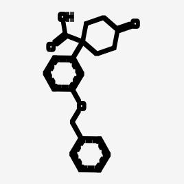 O=C1CCC(C(=O)O)(c2cccc(OCc3ccccc3)c2)CC1